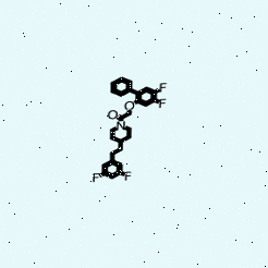 O=C(COc1cc(F)c(F)cc1-c1ccccc1)N1CCC(CCc2cc(F)cc(F)c2)CC1